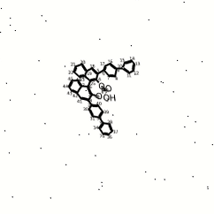 O=P1(O)Oc2c(-c3ccc(-c4ccccc4)cc3)cc3ccccc3c2-c2c(c(-c3ccc(-c4ccccc4)cc3)cc3ccccc23)O1